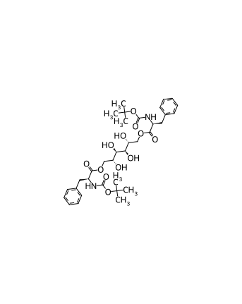 CC(C)(C)OC(=O)N[C@@H](Cc1ccccc1)C(=O)OC[C@@H](O)[C@@H](O)[C@H](O)[C@H](O)COC(=O)[C@H](Cc1ccccc1)NC(=O)OC(C)(C)C